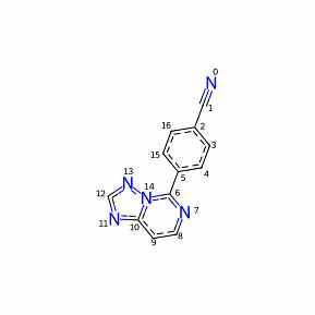 N#Cc1ccc(-c2nccc3ncnn23)cc1